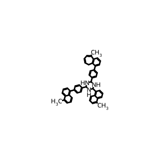 CC1=CC=CCc2c1cccc2-c1ccc(C2NC(c3ccc(-c4cccc5c(C)cccc45)cc3)NC(c3cccc4c(C)cccc34)N2)cc1